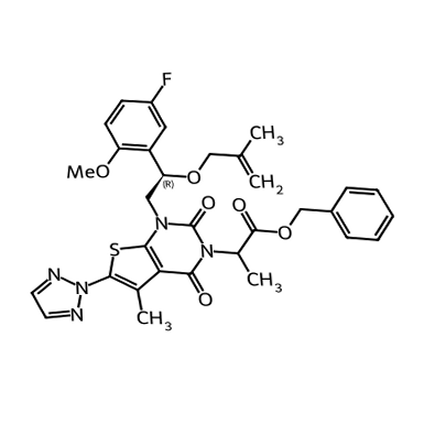 C=C(C)CO[C@@H](Cn1c(=O)n(C(C)C(=O)OCc2ccccc2)c(=O)c2c(C)c(-n3nccn3)sc21)c1cc(F)ccc1OC